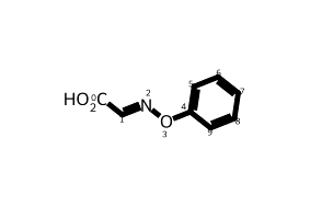 O=C(O)C=NOc1ccccc1